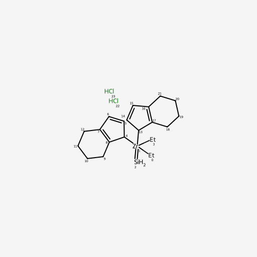 C[CH2][Zr](=[SiH2])([CH2]C)([CH]1C=CC2=C1CCCC2)[CH]1C=CC2=C1CCCC2.Cl.Cl